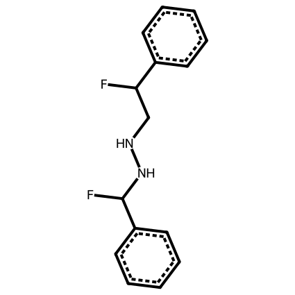 FC(CNNC(F)c1ccccc1)c1ccccc1